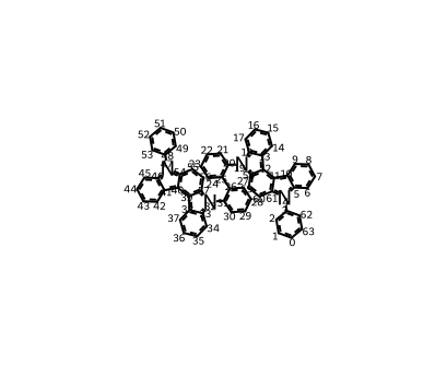 c1ccc(-n2c3ccccc3c3c4c5ccccc5n(-c5ccccc5-c5ccccc5-n5c6ccccc6c6c7c8ccccc8n(-c8ccccc8)c7ccc65)c4ccc32)cc1